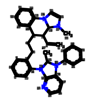 C=CC1C(CCc2ccccc2N2c3ncccc3N(c3ccccc3)C2C)c2ccccc2N2C=CN(C)C12